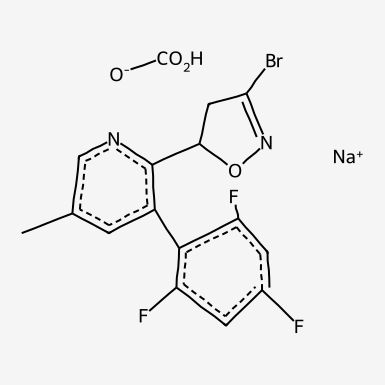 Cc1cnc(C2CC(Br)=NO2)c(-c2c(F)cc(F)cc2F)c1.O=C([O-])O.[Na+]